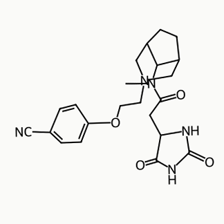 CN(C(=O)CC1NC(=O)NC1=O)C1C2CCC1CN(CCOc1ccc(C#N)cc1)C2